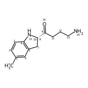 Cc1ccc2c(c1)C[C@@H](C(=O)CCCN)N2